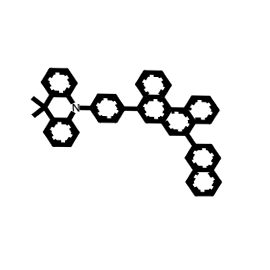 CC1(C)c2ccccc2N(c2ccc(-c3cc4cc(-c5ccc6ccccc6c5)c5ccccc5c4c4ccccc34)cc2)c2ccccc21